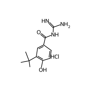 CC(C)(C)c1cc(C(=O)NC(=N)N)ccc1O.Cl